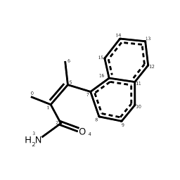 CC(C(N)=O)=C(C)c1cccc2ccccc12